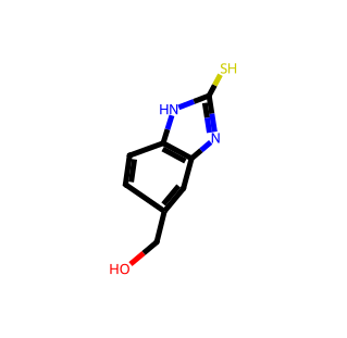 OCc1ccc2[nH]c(S)nc2c1